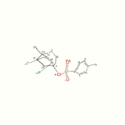 Cc1ccc(S(=O)(=O)OC23CCC(C)(CC2)C(F)=C3F)cc1